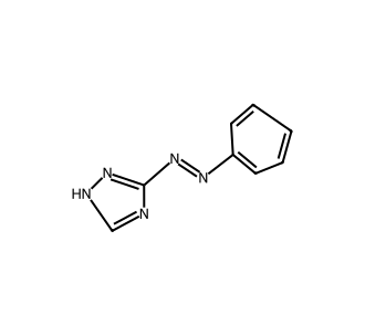 c1ccc(N=Nc2nc[nH]n2)cc1